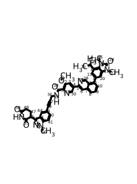 COc1cc(-c2cc3cccc(-c4cc(C(C)C)c5c(c4)n(C)c(=O)n5C)c3cn2)cnc1C(=O)NCC#Cc1ccc2c(c1)c(C1CCC(=O)NC1=O)nn2C